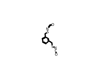 O=C=NSCc1cccc(CSN=C=O)c1